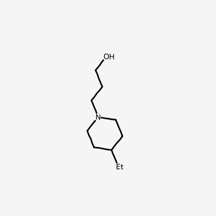 CCC1CCN(CCCO)CC1